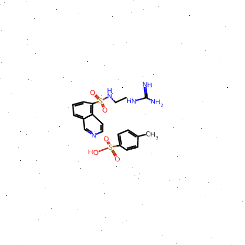 Cc1ccc(S(=O)(=O)O)cc1.N=C(N)NCCNS(=O)(=O)c1cccc2cnccc12